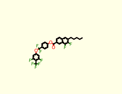 CCCCCc1cc2ccc(C(=O)Oc3ccc(C(F)(F)Oc4cc(F)c(C(F)(F)F)c(F)c4)cc3)cc2c(F)c1F